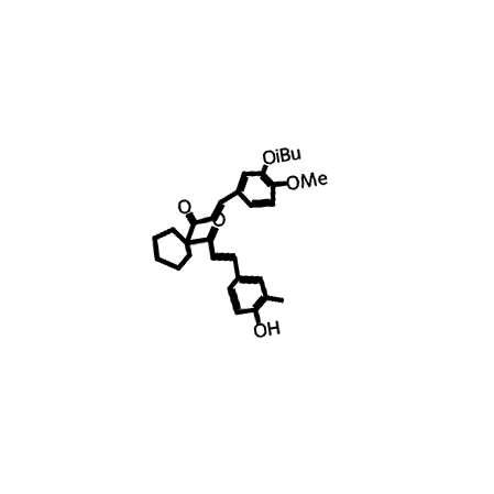 COc1ccc(/C=C/C(=O)C2(C(=O)/C=C/c3ccc(O)c(C)c3)CCCCC2)cc1OCC(C)C